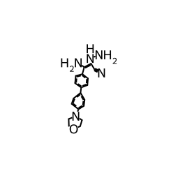 N#C/C(NN)=C(/N)c1ccc(-c2ccc(N3CCOCC3)cc2)cc1